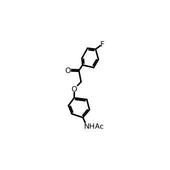 CC(=O)Nc1ccc(OCC(=O)c2ccc(F)cc2)cc1